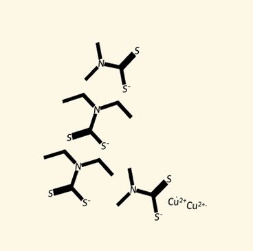 CCN(CC)C(=S)[S-].CCN(CC)C(=S)[S-].CN(C)C(=S)[S-].CN(C)C(=S)[S-].[Cu+2].[Cu+2]